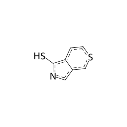 Sc1ncc2csccc1-2